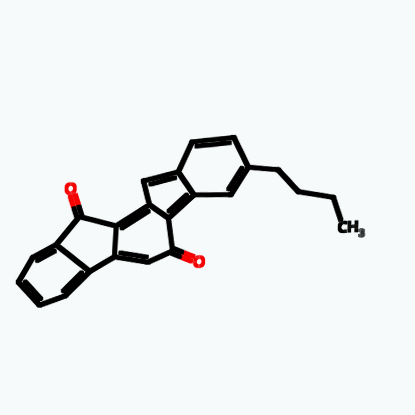 CCCCc1ccc2cc3c4c(=O)c5ccccc5c-4cc(=O)c-3c2c1